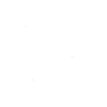 Cc1cc(OC(C)c2ccccn2)ccc1Nc1cccc(C(=O)NCCC2CCCC2)c1